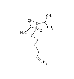 C=CCOCOP(=O)(OC(C)C)C(C)C